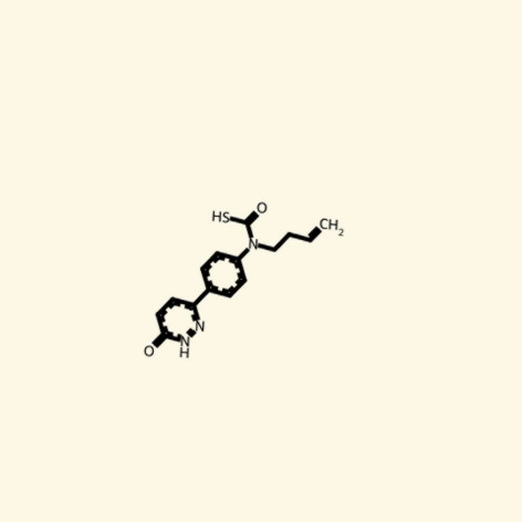 C=CCCN(C(=O)S)c1ccc(-c2ccc(=O)[nH]n2)cc1